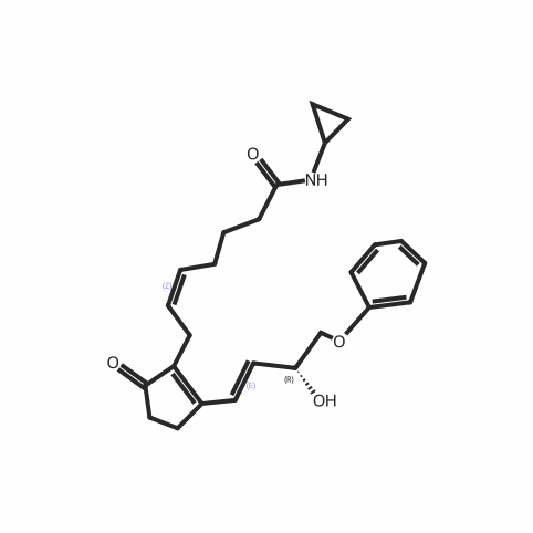 O=C(CCC/C=C\CC1=C(/C=C/[C@@H](O)COc2ccccc2)CCC1=O)NC1CC1